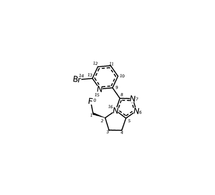 FC[C@@H]1CCc2nnc(-c3cccc(Br)n3)n21